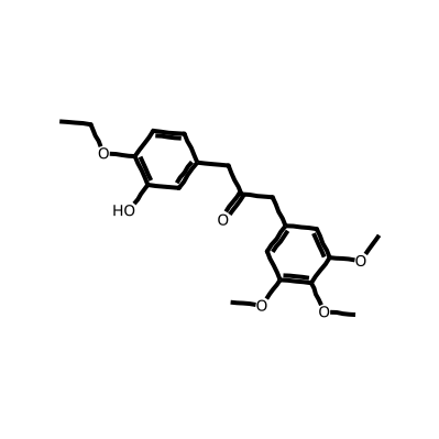 CCOc1ccc(CC(=O)Cc2cc(OC)c(OC)c(OC)c2)cc1O